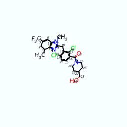 CC1CC(C(F)(F)F)=Cc2c1nc(Cc1c(Cl)ccc(C(=O)N3CCC(CO)CC3)c1Cl)n2C